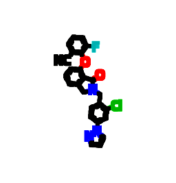 N#Cc1cccc(F)c1Oc1cccc2c1C(=O)N(Cc1ccc(-n3cccn3)cc1Cl)C2